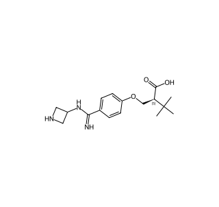 CC(C)(C)[C@@H](COc1ccc(C(=N)NC2CNC2)cc1)C(=O)O